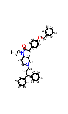 CN(C(=O)Cc1ccc(OCc2ccccc2)cc1)C1CCN(CCC(c2ccccc2)c2ccccc2)CC1